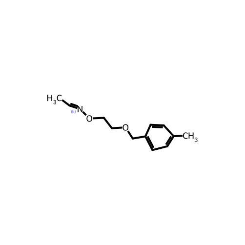 C/C=N/OCCOCc1ccc(C)cc1